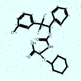 O=C(N[C@@H](CC1CCCCC1)C(=O)O)OC(c1ccccc1)C(F)(F)c1cccc(Cl)c1